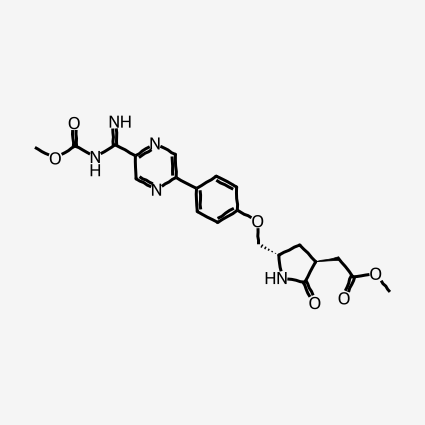 COC(=O)C[C@@H]1C[C@@H](COc2ccc(-c3cnc(C(=N)NC(=O)OC)cn3)cc2)NC1=O